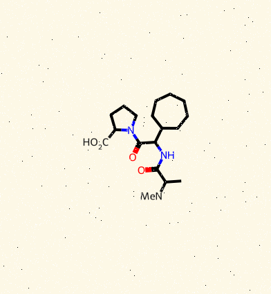 CNC(C)C(=O)NC(C(=O)N1CCCC1C(=O)O)C1CCCCCC1